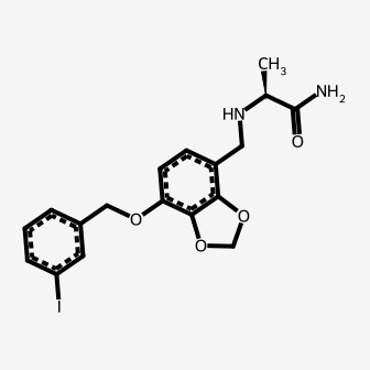 C[C@H](NCc1ccc(OCc2cccc(I)c2)c2c1OCO2)C(N)=O